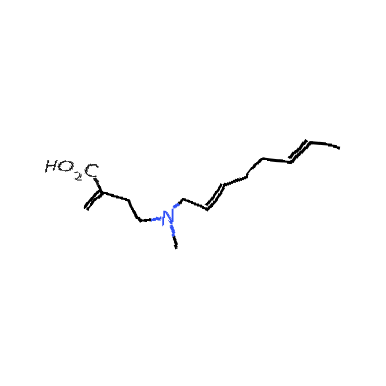 C=C(CCN(C)CC=CCCC=CC)C(=O)O